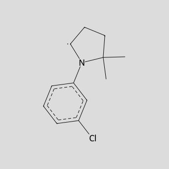 CC1(C)CC[CH]N1c1cccc(Cl)c1